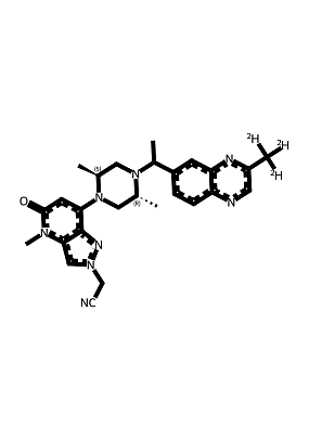 [2H]C([2H])([2H])c1cnc2ccc(C(C)N3C[C@H](C)N(c4cc(=O)n(C)c5cn(CC#N)nc45)C[C@H]3C)cc2n1